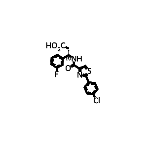 O=C(O)C[C@H](NC(=O)c1csc(-c2ccc(Cl)cc2)n1)c1cccc(F)c1